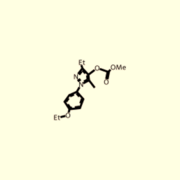 CCOc1ccc(-n2nc(CC)c(OC(=O)OC)c2C)cc1